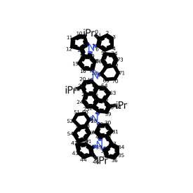 CC(C)c1ccccc1-n1c2ccccc2c2ccc(N(c3cc(C(C)C)c4ccc5c(N(c6ccc7c8ccccc8n(-c8ccccc8C(C)C)c7c6)C6CCCc7ccccc76)cc(C(C)C)c6ccc3c4c65)C3CCCc4ccccc43)cc21